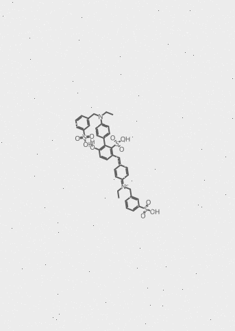 CCN(Cc1cccc(S(=O)(=O)O)c1)c1ccc(-c2c(O)ccc(C=C3C=CC(=[N+](CC)Cc4cccc(S(=O)(=O)O)c4)C=C3)c2S(=O)(=O)O)cc1